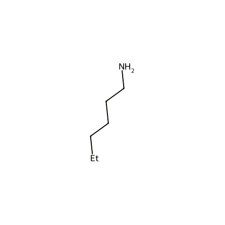 [CH2]CCCCCN